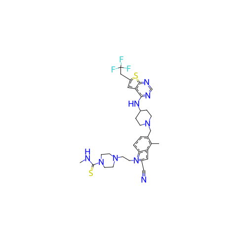 CNC(=S)N1CCN(CCn2c(C#N)cc3c(C)c(CN4CCC(Nc5ncnc6sc(CC(F)(F)F)cc56)CC4)ccc32)CC1